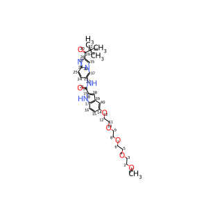 COCCOCCOCCOCCOc1ccc2[nH]c(C(=O)Nc3ccc4nc(C(=O)C(C)(C)C)cn4c3)cc2c1